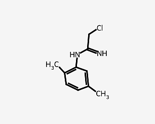 Cc1ccc(C)c(NC(=N)CCl)c1